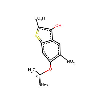 CCCCCC[C@@H](C)Oc1cc2sc(C(=O)O)c(O)c2cc1[N+](=O)[O-]